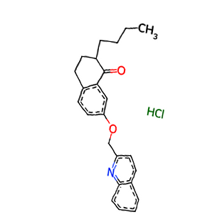 CCCCC1CCc2ccc(OCc3ccc4ccccc4n3)cc2C1=O.Cl